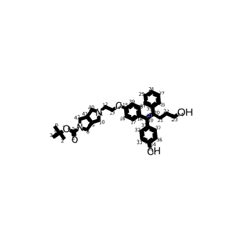 CC(C)(C)OC(=O)N1CC2CN(CCOc3ccc(/C(=C(/CCCO)c4ccccc4)c4ccc(O)cc4)cc3)CC2C1